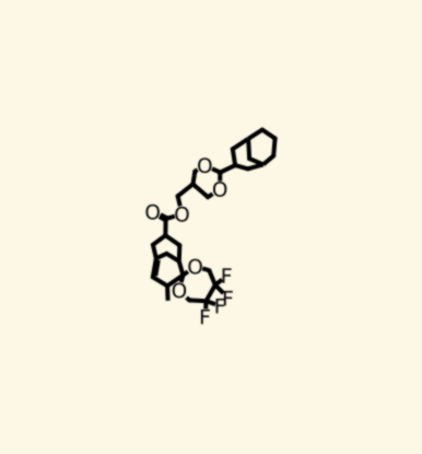 CC1C=C2CC(C(=O)OCC3COC(C4CC5CCCC(C5)C4)OC3)CC(C2)C12OCC(F)(F)C(F)(F)CO2